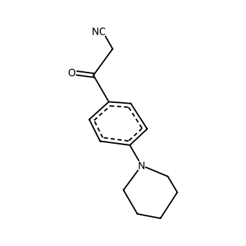 N#CCC(=O)c1ccc(N2CCCCC2)cc1